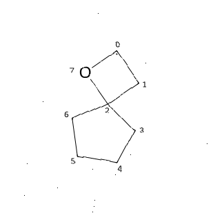 [CH]1CC2(CCCC2)O1